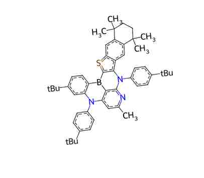 Cc1cc2c3c(n1)N(c1ccc(C(C)(C)C)cc1)c1c(sc4cc5c(cc14)C(C)(C)CCC5(C)C)B3c1ccc(C(C)(C)C)cc1N2c1ccc(C(C)(C)C)cc1